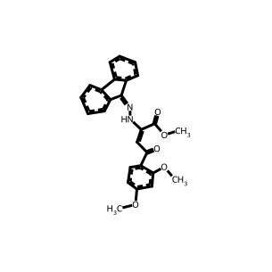 COC(=O)C(=CC(=O)c1ccc(OC)cc1OC)NN=C1c2ccccc2-c2ccccc21